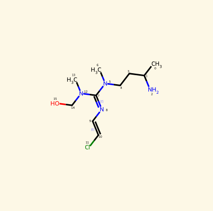 CC(N)CCN(C)/C(=N/C=C/Cl)N(C)CO